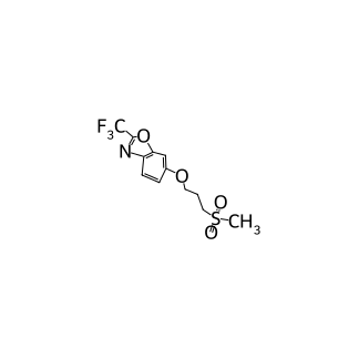 CS(=O)(=O)CCCOc1ccc2nc(C(F)(F)F)oc2c1